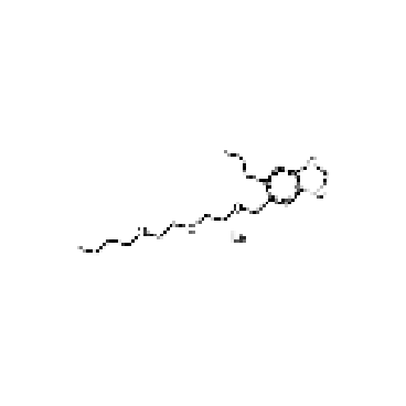 CCCCOCCOCCOCc1cc2c(cc1CCC)OCO2.[La]